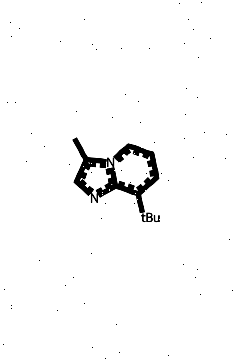 Cc1cnc2c(C(C)(C)C)cccn12